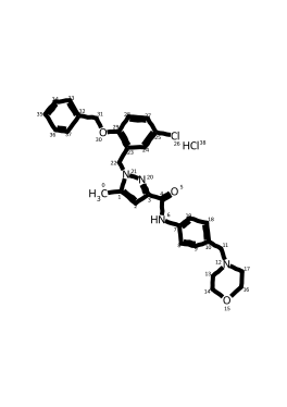 Cc1cc(C(=O)Nc2ccc(CN3CCOCC3)cc2)nn1Cc1cc(Cl)ccc1OCc1ccccc1.Cl